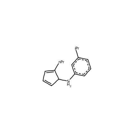 CCCC1=CC=C[C]1[SiH2]c1cccc(C(C)C)c1